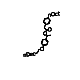 CCCCCCCCCCCCOc1ccc(C(C)OC(=O)Cc2ccc(CCCCCCCC)cc2)cc1